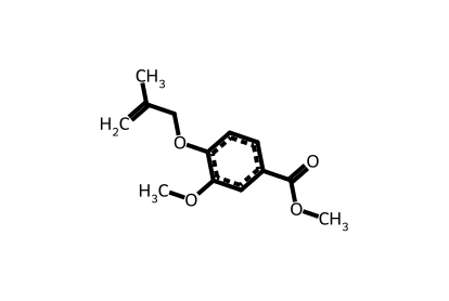 C=C(C)COc1ccc(C(=O)OC)cc1OC